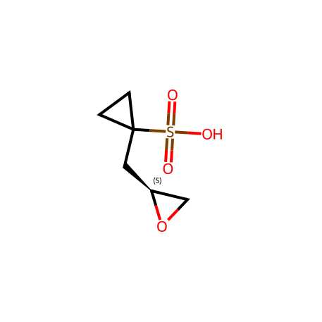 O=S(=O)(O)C1(C[C@H]2CO2)CC1